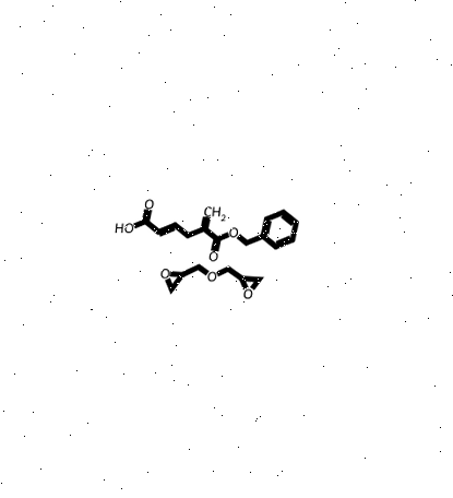 C(OCC1CO1)C1CO1.C=C(CC=CC(=O)O)C(=O)OCc1ccccc1